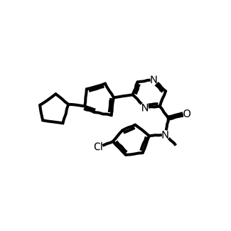 CN(C(=O)c1cncc(-c2ccc(C3CCCC3)cc2)n1)c1ccc(Cl)cc1